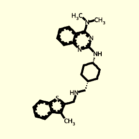 Cc1c(CNC[C@H]2CC[C@@H](Nc3nc(N(C)C)c4ccccc4n3)CC2)sc2ccccc12